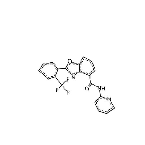 O=C(Nc1ccccn1)c1cccc2oc(-c3ccccc3C(F)(F)F)nc12